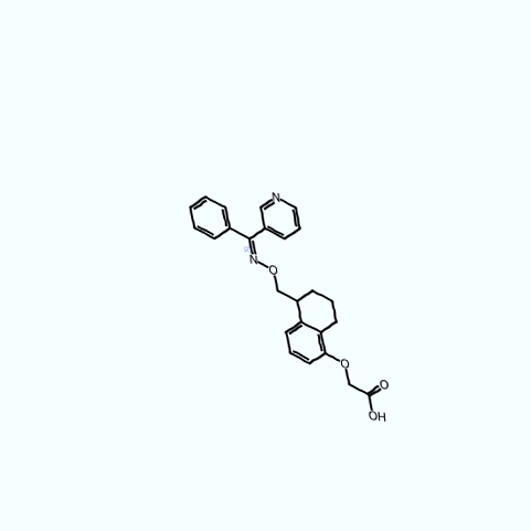 O=C(O)COc1cccc2c1CCCC2CO/N=C(/c1ccccc1)c1cccnc1